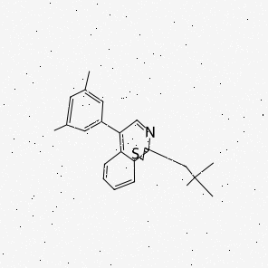 Cc1cc(C)cc(C2=C3C=CC=CC34SCC(CC(C)(C)C)=C4N=C2)c1